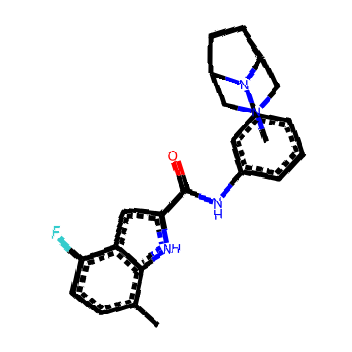 Cc1ccc(F)c2cc(C(=O)Nc3cccc(N4C5CCC4CN(C)C5)c3)[nH]c12